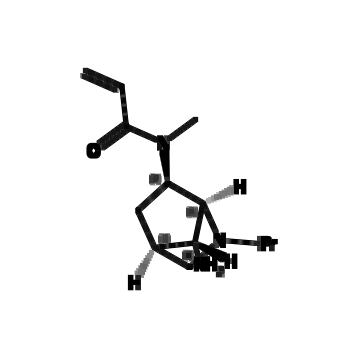 C=CC(=O)N(C)[C@@H]1C[C@@H]2CN(C(C)C)[C@H]1[C@@H]2N